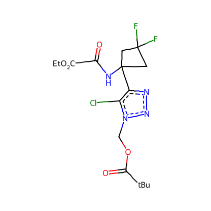 CCOC(=O)C(=O)NC1(c2nnn(COC(=O)C(C)(C)C)c2Cl)CC(F)(F)C1